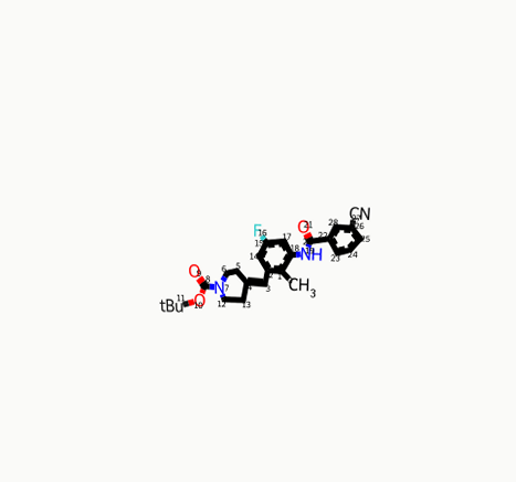 Cc1c(C=C2CCN(C(=O)OC(C)(C)C)CC2)cc(F)cc1NC(=O)c1cccc(C#N)c1